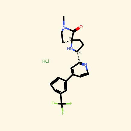 CN1CC[C@@]2(CC[C@H](c3cc(-c4cccc(C(F)(F)F)c4)ccn3)N2)C1=O.Cl